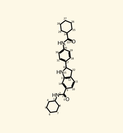 O=C(NC1CCCCC1)c1ccc2c(c1)NC(c1ccc(NC(=O)C3CCCCC3)cc1)C2